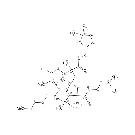 COCCOCCOC(=O)C(C)(CC(C)(CC(C)(C)C#N)C(=O)OCCN(C)C)CC(C)(SCC(C)C(=O)OC)C(=O)OCC1COC(C)(C)O1